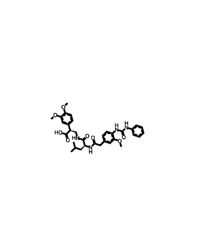 COc1cc(CC(=O)N[C@@H](CC(C)C)C(=O)NC[C@@H](C(=O)O)c2ccc(OC)c(OC)c2)ccc1NC(=O)Nc1ccccc1